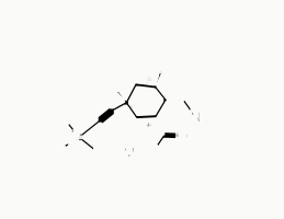 COC(=O)[C@@H]1C[C@](O)(C#C[Si](C)(C)C)C[C@@H](O)[C@@H]1C[N+](=O)[O-]